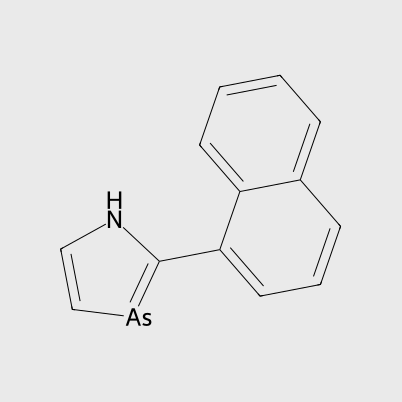 C1=C[As]=C(c2cccc3ccccc23)N1